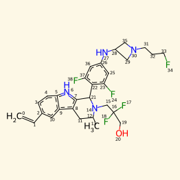 C=Cc1ccc2[nH]c3c(c2c1)CC(C)N(CC(F)(F)CO)C3c1c(F)cc(NC2CN(CCCF)C2)cc1F